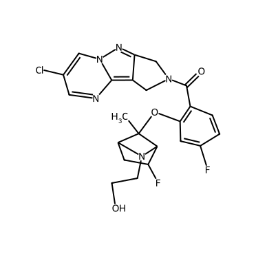 CC1(Oc2cc(F)ccc2C(=O)N2Cc3nn4cc(Cl)cnc4c3C2)C2CC(F)C1N2CCO